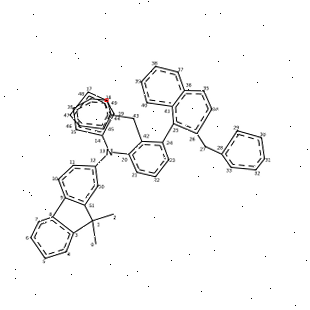 CC1(C)c2ccccc2-c2ccc(N(c3ccccc3)c3cccc(-c4c(Cc5ccccc5)ccc5ccccc45)c3Cc3ccccc3)cc21